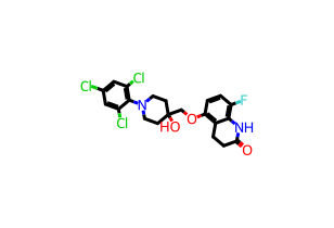 O=C1CCc2c(OCC3(O)CCN(c4c(Cl)cc(Cl)cc4Cl)CC3)ccc(F)c2N1